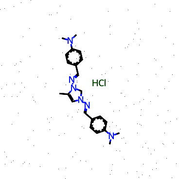 CC1=CN(N=Cc2ccc(N(C)C)cc2)CN1N=Cc1ccc(N(C)C)cc1.Cl